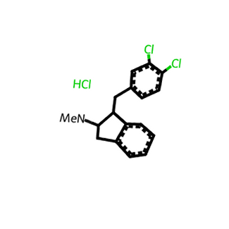 CNC1Cc2ccccc2C1Cc1ccc(Cl)c(Cl)c1.Cl